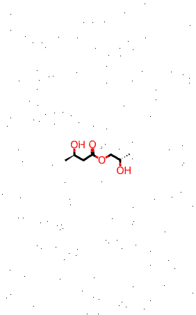 C[C@H](O)COC(=O)C[C@@H](C)O